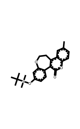 Cc1ccc2oc(=O)c3c(c2c1)CCOc1cc(O[Si](C)(C)C(C)(C)C)ccc1-3